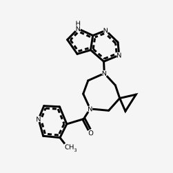 Cc1cnccc1C(=O)N1CCN(c2ncnc3[nH]ccc23)CC2(CC2)C1